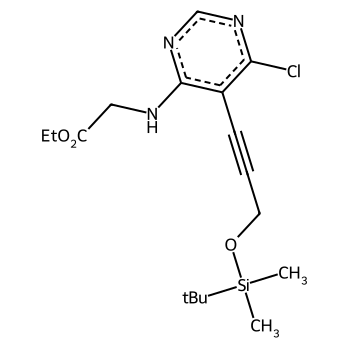 CCOC(=O)CNc1ncnc(Cl)c1C#CCO[Si](C)(C)C(C)(C)C